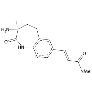 CNC(=O)/C=C/c1cnc2c(c1)CC[C@](C)(N)C(=O)N2